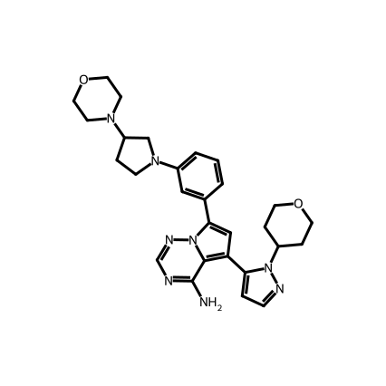 Nc1ncnn2c(-c3cccc(N4CCC(N5CCOCC5)C4)c3)cc(-c3ccnn3C3CCOCC3)c12